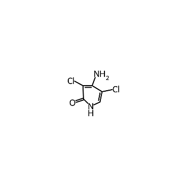 Nc1c(Cl)c[nH]c(=O)c1Cl